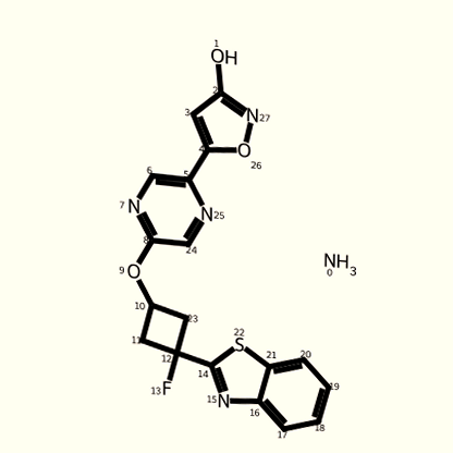 N.Oc1cc(-c2cnc(OC3CC(F)(c4nc5ccccc5s4)C3)cn2)on1